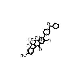 CCc1cc2c(cc1N1CCN(C(=O)C3CCCC3)CC1)C(C)(C)c1[nH]c3cc(C#N)ccc3c1C2=O